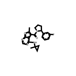 Cc1oc2ncnc(NC3(C)CC3)c2c1C(=O)N1CCCC1c1cccc(F)c1